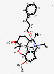 CCN1CC[C@]23c4c5ccc(OC)c4OC2(C)C(=O)CC[C@@]3(OCCCc2ccccc2)[C@H]1C5